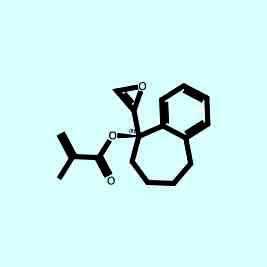 C=C(C)C(=O)O[C@]1(C2=CO2)CCCCc2ccccc21